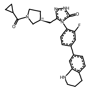 O=C(C1CC1)N1CC[C@@H](Cc2n[nH]c(=O)n2-c2ccc(-c3ccc4c(c3)NCCC4)cc2F)C1